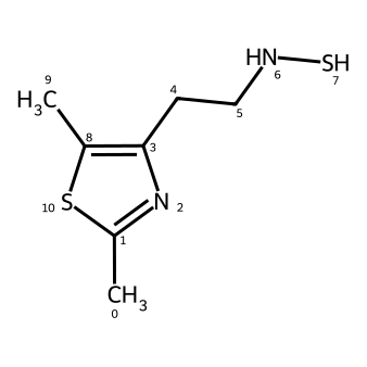 Cc1nc(CCNS)c(C)s1